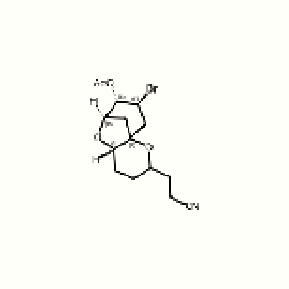 CC(=O)O[C@@H]1[C@@H](Br)C[C@]23C[C@H]1O[C@H]2CCC(CCC#N)O3